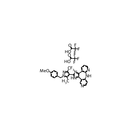 COc1ccc(Cn2nc(C(F)(F)F)c(-c3nc4c([nH]3)-c3cnccc3Nc3ncccc3-4)c2C)cc1.O=C(O)C(F)(F)F.O=C(O)C(F)(F)F